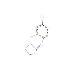 Clc1cc(Br)ccc1N=C1NCCN1